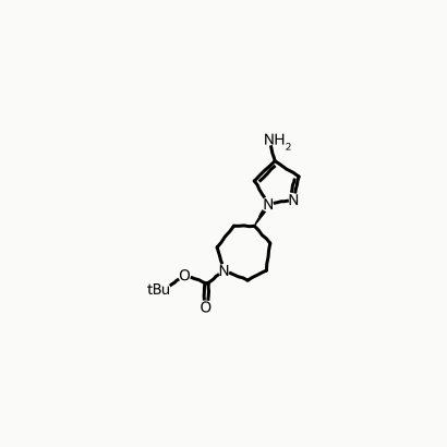 CC(C)(C)OC(=O)N1CCC[C@H](n2cc(N)cn2)CC1